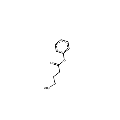 CCCCOCCC(=O)Oc1ccccc1